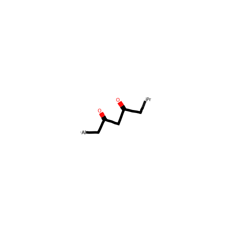 CC(C)CC(=O)CC(=O)[CH2][Al]